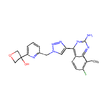 COc1c(F)ccc2c(-c3cn(Cc4cccc(C5(O)COC5)n4)nn3)nc(N)nc12